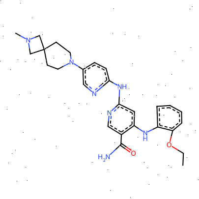 CCOc1ccccc1Nc1cc(Nc2ccc(N3CCC4(CC3)CN(C)C4)cn2)ncc1C(N)=O